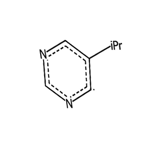 CC(C)c1[c]ncnc1